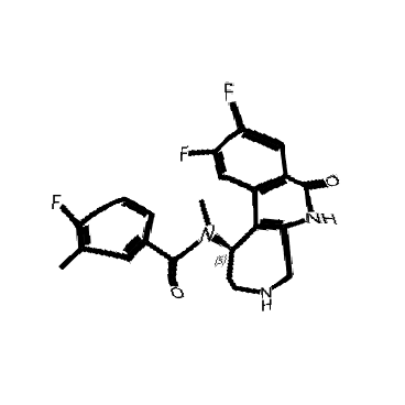 Cc1cc(C(=O)N(C)[C@@H]2CNCc3[nH]c(=O)c4cc(F)c(F)cc4c32)ccc1F